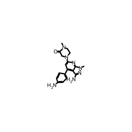 CN1CCN(c2cc(-c3ccc(N)cc3)c3c(N)nn(C)c3n2)CC1=O